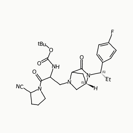 CC[C@@H](c1ccc(F)cc1)N1C(=O)C2C[C@H]1CN2CC(NC(=O)OC(C)(C)C)C(=O)N1CCCC1C#N